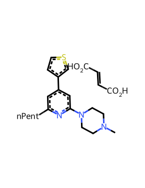 CCCCCc1cc(-c2ccsc2)cc(N2CCN(C)CC2)n1.O=C(O)C=CC(=O)O